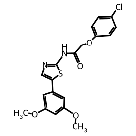 COc1cc(OC)cc(-c2cnc(NC(=O)COc3ccc(Cl)cc3)s2)c1